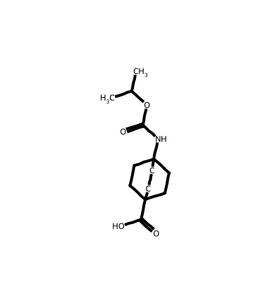 CC(C)OC(=O)NC12CCC(C(=O)O)(CC1)CC2